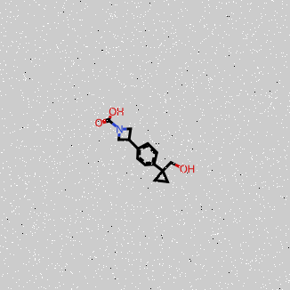 O=C(O)N1CC(c2ccc(C3(CO)CC3)cc2)C1